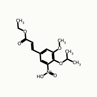 CCOC(=O)/C=C/c1cc(OC)c(OC(C)C)c([N+](=O)O)c1